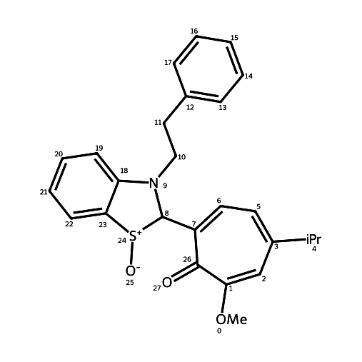 COc1cc(C(C)C)ccc(C2N(CCc3ccccc3)c3ccccc3[S+]2[O-])c1=O